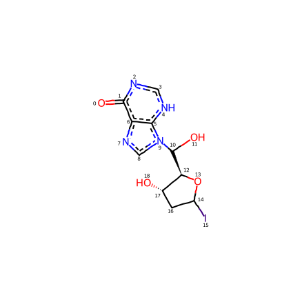 O=c1nc[nH]c2c1ncn2C(O)[C@H]1OC(I)C[C@@H]1O